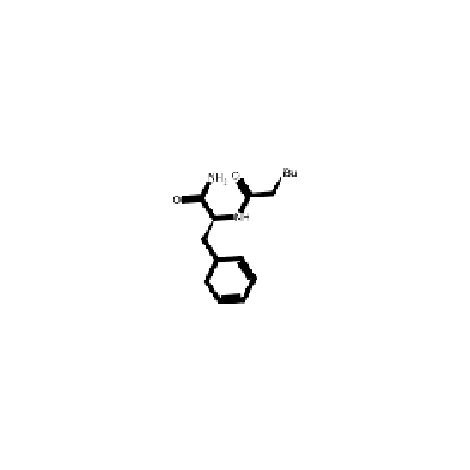 CC[C@H](C)CC(=O)N[C@@H](CC1C=CC=CC1)C(N)=O